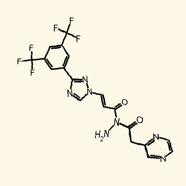 NN(C(=O)C=Cn1cnc(-c2cc(C(F)(F)F)cc(C(F)(F)F)c2)n1)C(=O)Cc1cnccn1